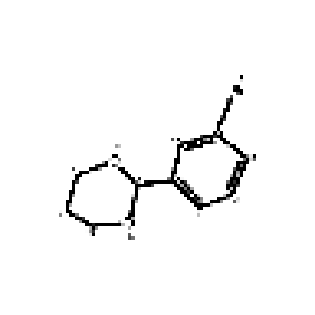 Brc1cccc(C2OCCCO2)c1